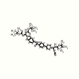 CC(C)(C)OC(=O)N=C(NC(=O)OC(C)(C)C)N1Cc2ccc(NC(=O)c3ccc(C4=CCN(C(=BC#N)NC(=O)OC(C)(C)C)CC4)cc3)cc2C1